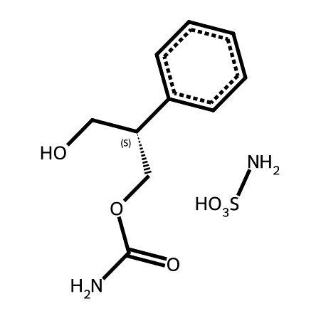 NC(=O)OC[C@H](CO)c1ccccc1.NS(=O)(=O)O